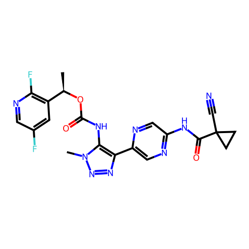 C[C@@H](OC(=O)Nc1c(-c2cnc(NC(=O)C3(C#N)CC3)cn2)nnn1C)c1cc(F)cnc1F